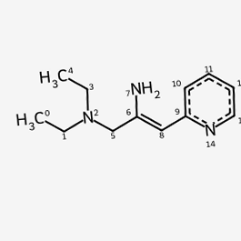 CCN(CC)CC(N)=Cc1ccccn1